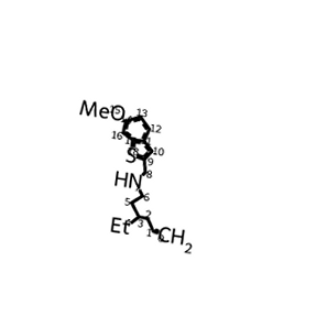 C=CCC(CC)CCNCc1cc2ccc(OC)cc2s1